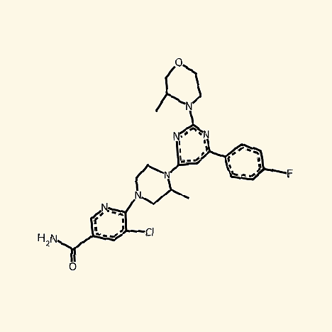 CC1CN(c2ncc(C(N)=O)cc2Cl)CCN1c1cc(-c2ccc(F)cc2)nc(N2CCOCC2C)n1